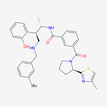 Cc1csc([C@H]2CCCN2C(=O)c2cccc(C(=O)N[C@@H](C)[C@@H](CNCc3cccc(C(C)(C)C)c3)c3ccccc3O)c2)n1